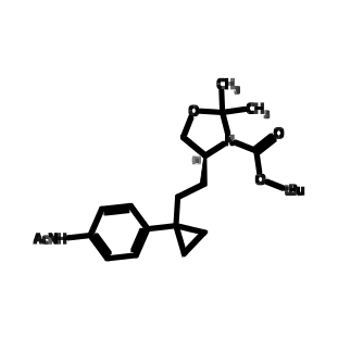 CC(=O)Nc1ccc(C2(CC[C@H]3COC(C)(C)N3C(=O)OC(C)(C)C)CC2)cc1